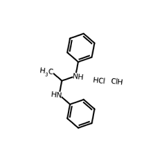 CC(Nc1ccccc1)Nc1ccccc1.Cl.Cl